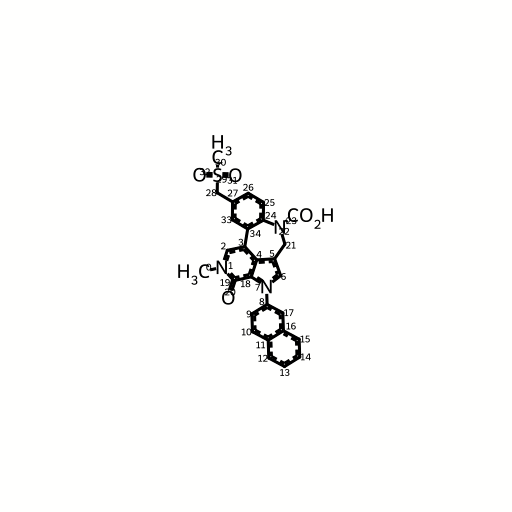 Cn1cc2c3c(cn(-c4ccc5ccccc5c4)c3c1=O)CN(C(=O)O)c1ccc(CS(C)(=O)=O)cc1-2